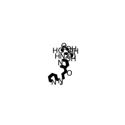 CN(CCC(=O)c1ccc(NC(P(=O)(O)O)P(=O)(O)O)nc1)c1ccccn1